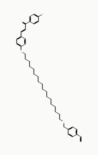 C=Cc1ccc(COCCCCCCCCCCCCCCCCCCOc2ccc(C=CC(=O)c3ccc(F)cc3)cc2)cc1